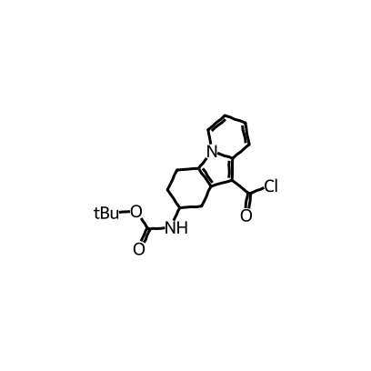 CC(C)(C)OC(=O)NC1CCc2c(c(C(=O)Cl)c3ccccn23)C1